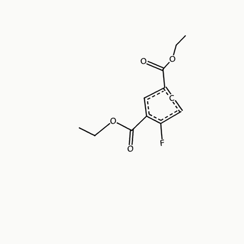 CCOC(=O)c1ccc(F)c(C(=O)OCC)c1